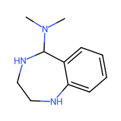 CN(C)C1NCCNc2ccccc21